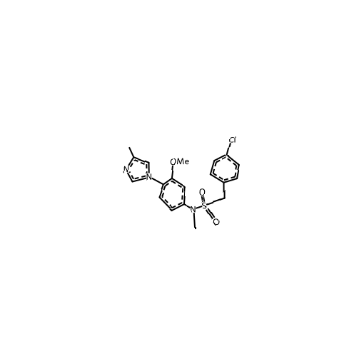 COc1cc(N(C)S(=O)(=O)Cc2ccc(Cl)cc2)ccc1-n1cnc(C)c1